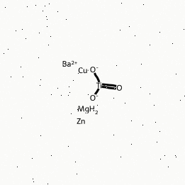 [Ba+2].[Cu].[MgH2].[O]=[Ti]([O-])[O-].[Zn]